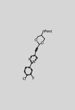 CCCCCC1COC(C#Cc2cnc(-c3ccc(Cl)c(F)c3)nc2)OC1